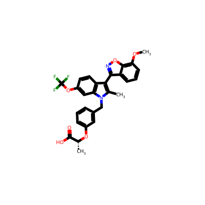 COc1cccc2c(-c3c(C)n(Cc4cccc(O[C@H](C)C(=O)O)c4)c4cc(OC(F)(F)F)ccc34)noc12